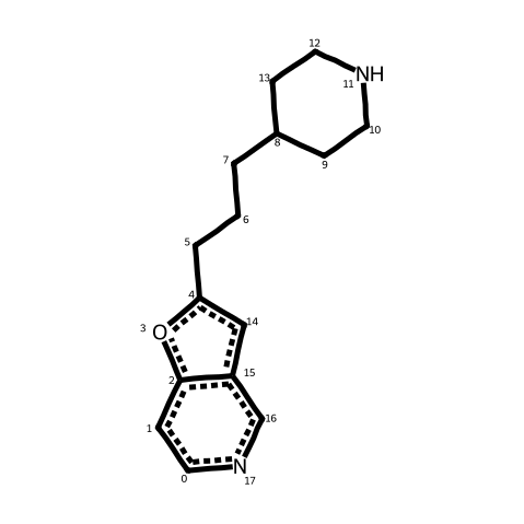 c1cc2oc(CCCC3CCNCC3)cc2cn1